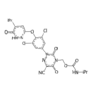 CC(C)NC(=O)OCn1c(=O)c(C#N)nn(-c2cc(Cl)c(Oc3cc(C(C)C)c(=O)[nH]n3)c(Cl)c2)c1=O